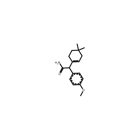 COc1ccc(C(C(N)=O)C2=CCC(C)(C)CC2)cc1